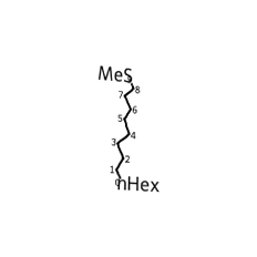 [CH2]CCCCCCCCCCCCCSC